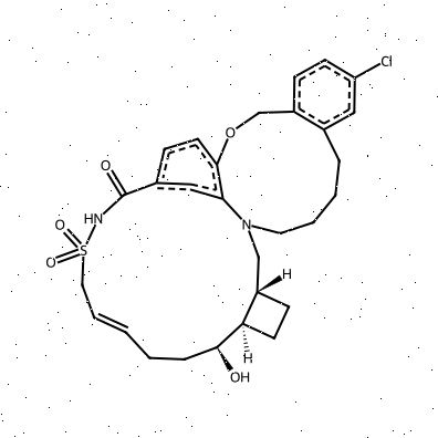 O=C1NS(=O)(=O)C/C=C/CC[C@H](O)[C@@H]2CC[C@H]2CN2CCCCc3cc(Cl)ccc3COc3ccc1cc32